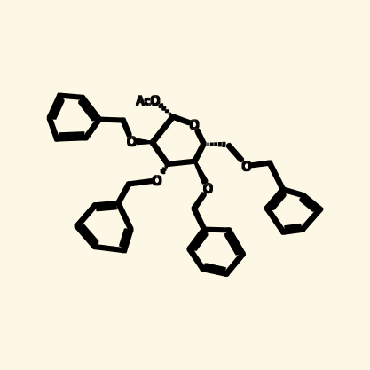 CC(=O)O[C@@H]1O[C@H](COCc2ccccc2)[C@@H](OCc2ccccc2)[C@H](OCc2ccccc2)[C@H]1OCc1ccccc1